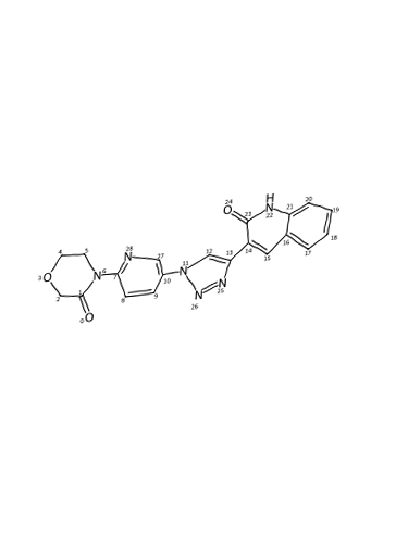 O=C1COCCN1c1ccc(-n2cc(-c3cc4ccccc4[nH]c3=O)nn2)cn1